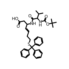 CC(C)C(NC(=O)OC(C)(C)C)C(=O)NC(C=CCCSC(c1ccccc1)(c1ccccc1)c1ccccc1)CC(=O)O